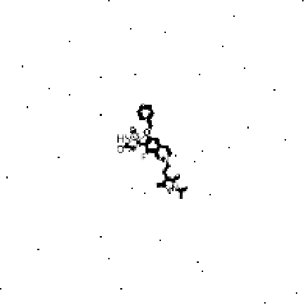 Cc1nn(C(C)C)c(C)c1CCN1CCc2cc(OCc3ccccc3)c(N3CC(=O)NS3(=O)=O)c(F)c2C1